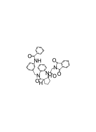 O=C(Nc1cccc(CN2C(=O)[C@H]3CCC[C@H]3N(C(=O)CN3C(=O)c4ccccc4C3=O)c3ccccc32)c1)c1ccccc1